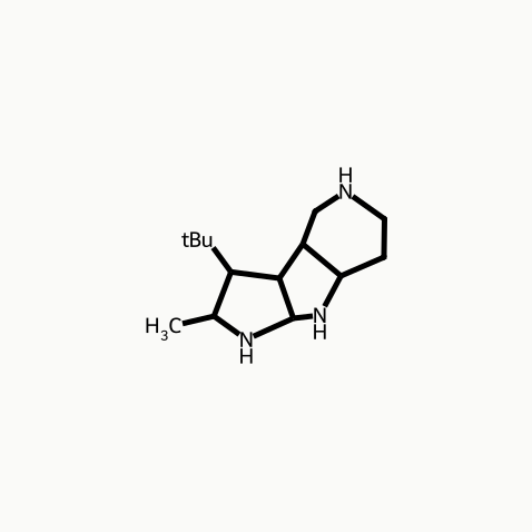 CC1NC2NC3CCNCC3C2C1C(C)(C)C